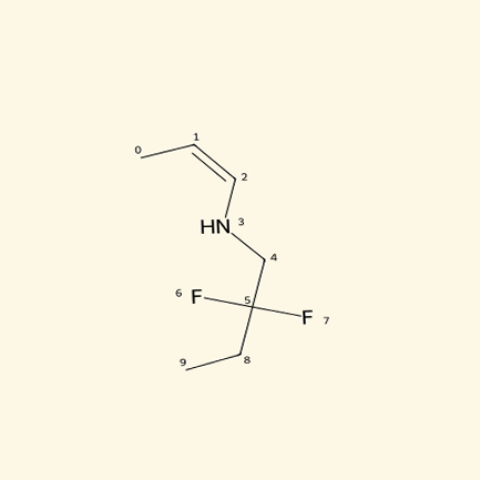 C/C=C\NCC(F)(F)CC